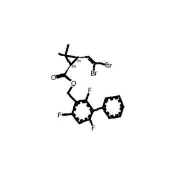 CC1(C)[C@H](C(=O)OCc2c(F)cc(F)c(-c3ccccc3)c2F)[C@@H]1C=C(Br)Br